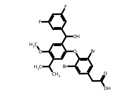 COc1cc(C(O)c2cc(F)cc(F)c2)c(Oc2c(Br)cc(CC(=O)O)cc2Br)cc1C(C)C